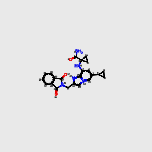 NC(=O)C1(Nc2cc(C3CC3)cn3cc(CN4C(=O)c5ccccc5C4=O)nc23)CC1